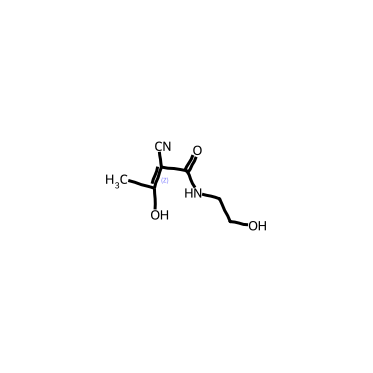 C/C(O)=C(\C#N)C(=O)NCCO